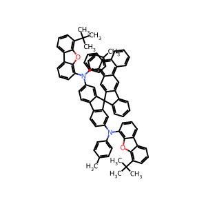 Cc1ccc(N(c2ccc3c(c2)C2(c4ccccc4-c4cc5c6ccccc6c6ccccc6c5cc42)c2cc(N(c4ccc(C)cc4)c4cccc5c4oc4c(C(C)(C)C)cccc45)ccc2-3)c2cccc3c2oc2c(C(C)(C)C)cccc23)cc1